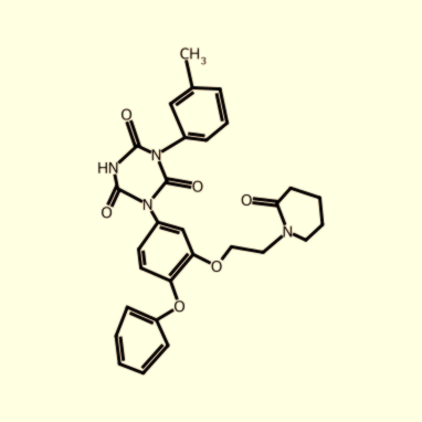 Cc1cccc(-n2c(=O)[nH]c(=O)n(-c3ccc(Oc4ccccc4)c(OCCN4CCCCC4=O)c3)c2=O)c1